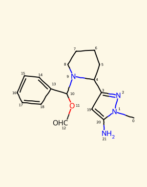 Cn1nc(C2CCCCN2C(OC=O)c2ccccc2)cc1N